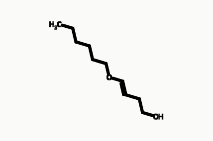 CCCCCCOC=CCCO